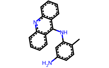 Cc1ccc(N)cc1Nc1c2ccccc2nc2ccccc12